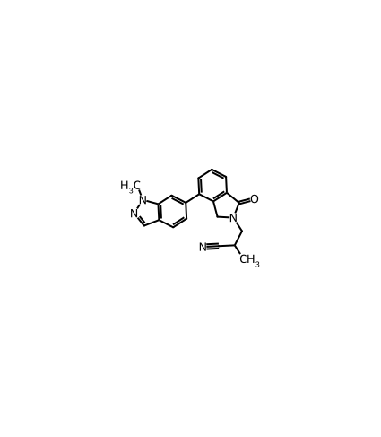 CC(C#N)CN1Cc2c(cccc2-c2ccc3cnn(C)c3c2)C1=O